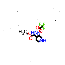 CCOC(=O)C1NN(OC(=O)C(F)(F)F)C2=C1CCNC2